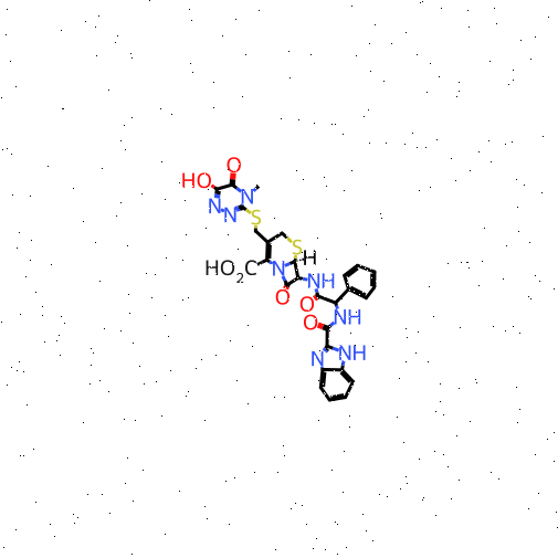 Cn1c(SCC2=C(C(=O)O)N3C(=O)C(NC(=O)C(NC(=O)c4nc5ccccc5[nH]4)c4ccccc4)[C@@H]3SC2)nnc(O)c1=O